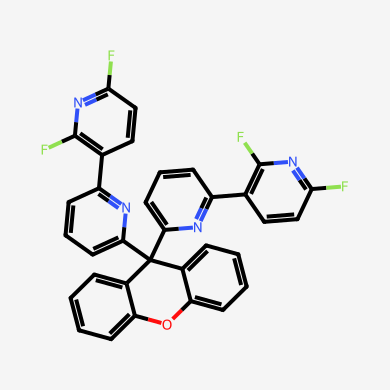 Fc1ccc(-c2cccc(C3(c4cccc(-c5ccc(F)nc5F)n4)c4ccccc4Oc4ccccc43)n2)c(F)n1